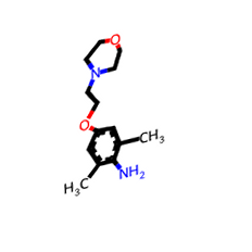 Cc1cc(OCCN2CCOCC2)cc(C)c1N